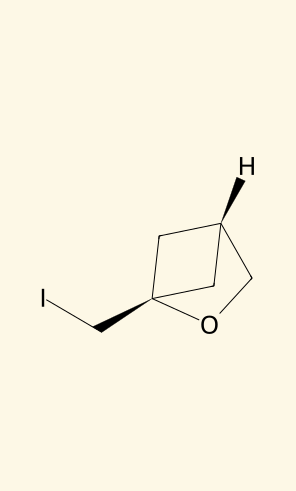 IC[C@]12C[C@H](CO1)C2